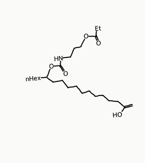 C=C(O)CCCCCCCCCCC(CCCCCC)OC(=O)NCCCOC(=O)CC